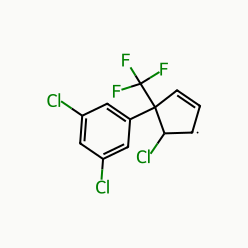 FC(F)(F)C1(c2cc(Cl)cc(Cl)c2)C=C[CH]C1Cl